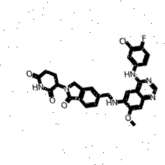 COc1cc2ncnc(Nc3ccc(F)c(Cl)c3)c2cc1NCc1ccc2c(c1)CN(C1CCC(=O)NC1=O)C2=O